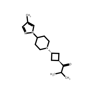 Cc1cnn(C2CCN([C@H]3C[C@H](C(=O)C(C)C)C3)CC2)c1